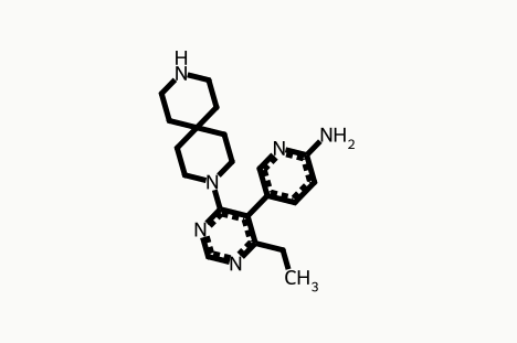 CCc1ncnc(N2CCC3(CCNCC3)CC2)c1-c1ccc(N)nc1